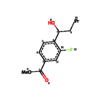 COC(=O)c1ccc(C(O)CC(C)C)c(F)c1